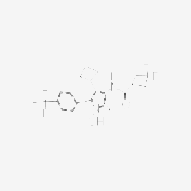 Cn1nc(NC(=O)C2CC(F)(F)C2)c(C2CCC2)c1-c1ccc(C(F)(F)F)cc1